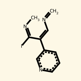 C=N/C=C(\C(I)=N/C)c1cccnc1